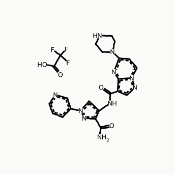 NC(=O)c1nn(-c2cccnc2)cc1NC(=O)c1cnn2ccc(N3CCNCC3)nc12.O=C(O)C(F)(F)F